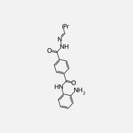 CC(C)/C=N/NC(=O)c1ccc(C(=O)Nc2ccccc2N)cc1